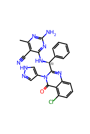 Cc1nc(N)nc(N[C@@H](c2ccccc2)c2nc3cccc(Cl)c3c(=O)n2-c2cn[nH]c2)c1C#N